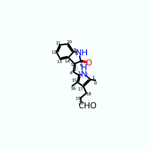 Cc1[nH]c(/C=C2\C(=O)Nc3ccccc32)c(C)c1CCC=O